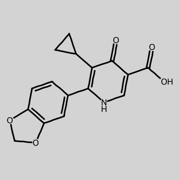 O=C(O)c1c[nH]c(-c2ccc3c(c2)OCO3)c(C2CC2)c1=O